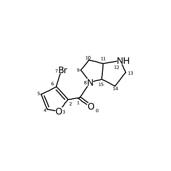 O=C(c1occc1Br)N1CCC2NCCC21